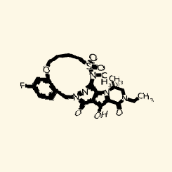 CCN1C[C@H](C)n2c(c(O)c3c(=O)n4nc(c32)N(C)S(=O)(=O)CCCCOc2cc(F)ccc2C4)C1=O